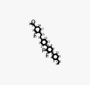 C=Cc1ccc(-c2ccc(-c3ccc(CCC4=CCC(C5CO5)C=C4F)cc3)c(F)c2F)cc1